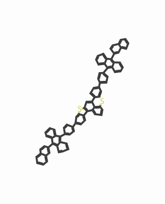 c1ccc2cc(-c3c4ccccc4c(-c4ccc(-c5ccc6c(c5)Sc5cccc7c5c-6cc5sc6cc(-c8ccc(-c9c%10ccccc%10c(-c%10ccc%11ccccc%11c%10)c%10ccccc9%10)cc8)ccc6c57)cc4)c4ccccc34)ccc2c1